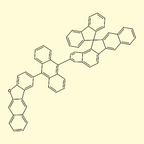 c1ccc2c(c1)-c1ccccc1C21c2cc3ccccc3cc2-c2ccc3cc(-c4c5ccccc5c(-c5ccc6oc7cc8ccccc8cc7c6c5)c5ccccc45)ccc3c21